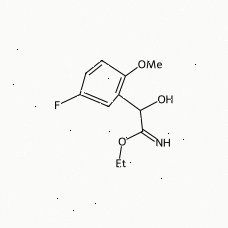 CCOC(=N)C(O)c1cc(F)ccc1OC